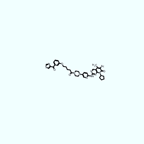 CC(=O)c1c(C)c2cnc(Nc3ccc(N4CCN(C(=O)CCCCOc5cccc(C(=O)c6cscn6)c5)CC4)cn3)nc2n(C2CCCC2)c1=O